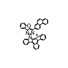 c1ccc2c(c1)ccc1cc(-c3nc(-n4c5ccccc5c5c6ccccc6c6c7ccccc7sc6c54)nc4c3oc3ccccc34)ccc12